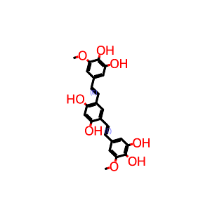 COc1cc(/C=C/c2cc(/C=C/c3cc(O)c(O)c(OC)c3)c(O)cc2O)cc(O)c1O